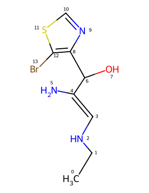 CCN/C=C(\N)C(O)c1ncsc1Br